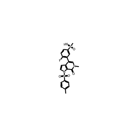 Cc1ccc(S(=O)(=O)n2ccc3c(-c4cc(S(C)(=N)=O)ccc4F)cn(C)c(=O)c32)cc1